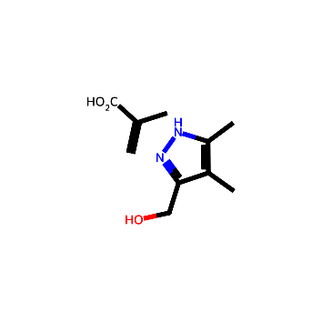 C=C(C)C(=O)O.Cc1[nH]nc(CO)c1C